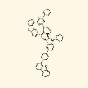 c1ccc(-c2nc(-c3ccccc3)nc(-c3cccc4sc5ccc(-c6ccc7c(c6)c6cc(-c8ccc(-c9cccc%10c9oc9ccccc9%10)cc8)ccc6n7-c6ccccc6)cc5c34)n2)cc1